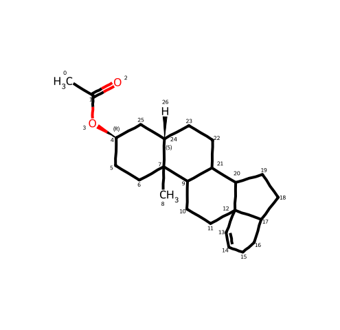 CC(=O)O[C@@H]1CCC2(C)C3CCC45C=CCCC4CCC5C3CC[C@H]2C1